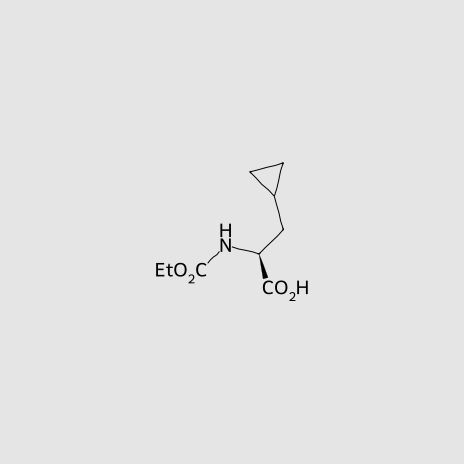 CCOC(=O)N[C@@H](CC1CC1)C(=O)O